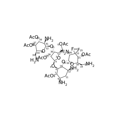 CC(=O)OC[C@H]1O[C@@H](O[C@@H]2C(OC(C)=O)[C@H](N)C[C@H](N)[C@H]2O[C@H]2O[C@H](CN)[C@@H](OC(C)=O)C(F)(F)[C@H]2N)[C@H](OC(C)=O)[C@@H]1O[C@H]1O[C@@H](CN)[C@@H](OC(C)=O)[C@H](OC(C)=O)[C@H]1N